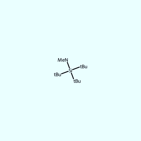 CN[Si](C(C)(C)C)(C(C)(C)C)C(C)(C)C